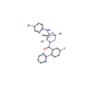 O=C(c1cc(F)ccc1-c1ncccn1)N1C[C@@H]2CC[C@H]1[C@H](Nc1ccc(Br)cn1)C2